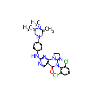 C[C@@H]1CN(c2ccc(Nc3ncc4c(n3)N3CCN=C3N(c3c(Cl)cccc3Cl)C4=O)cc2)C[C@H](C)N1C